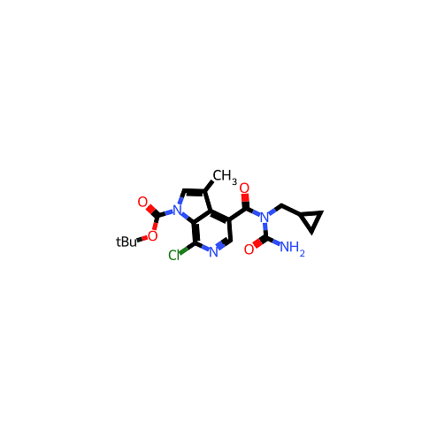 Cc1cn(C(=O)OC(C)(C)C)c2c(Cl)ncc(C(=O)N(CC3CC3)C(N)=O)c12